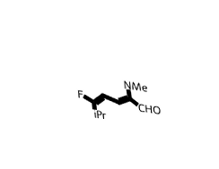 CN/C(C=O)=C\C=C(\F)C(C)C